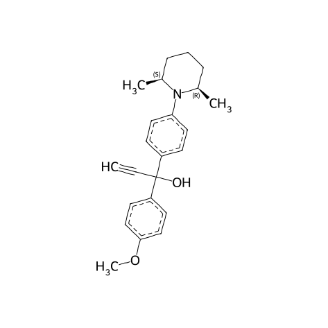 C#CC(O)(c1ccc(OC)cc1)c1ccc(N2[C@H](C)CCC[C@@H]2C)cc1